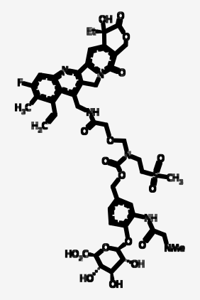 C=Cc1c(C)c(F)cc2nc3c(c(CNC(=O)COCN(CCS(C)(=O)=O)C(=O)OCc4ccc(O[C@@H]5O[C@H](C(=O)O)[C@@H](O)[C@H](O)[C@H]5O)c(NC(=O)CNC)c4)c12)Cn1c-3cc2c(c1=O)COC(=O)[C@]2(O)CC